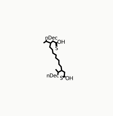 CCCCCCCCCCC(C)C(CCCCCCCCC(CC(O)=S)C(C)CCCCCCCCCC)CC(O)=S